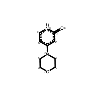 O=c1cc(N2CCOCC2)cc[nH]1